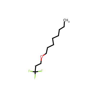 CCCCCCCCOC[CH]C(F)(F)F